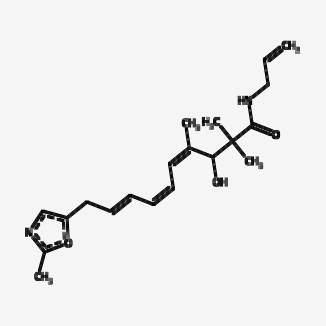 C=CCNC(=O)C(C)(C)C(O)\C(C)=C/C=C\C=C\Cc1cnc(C)o1